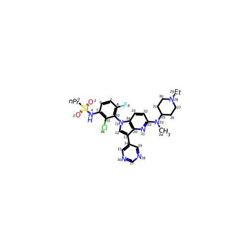 CCCS(=O)(=O)Nc1ccc(F)c(-n2cc(-c3cncnc3)c3nc(N(C)C4CCN(CC)CC4)ccc32)c1Cl